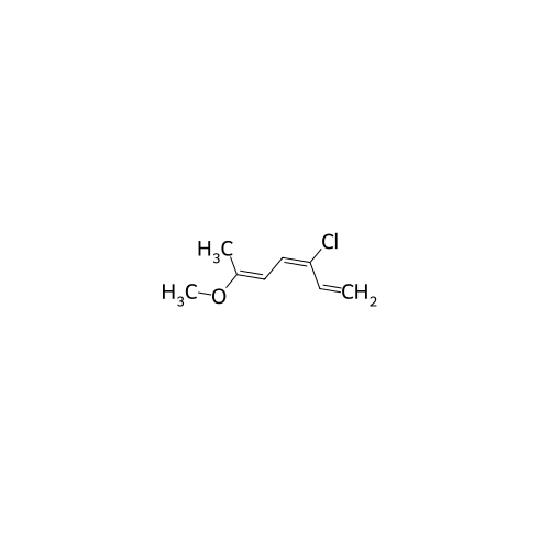 C=C/C(Cl)=C\C=C(/C)OC